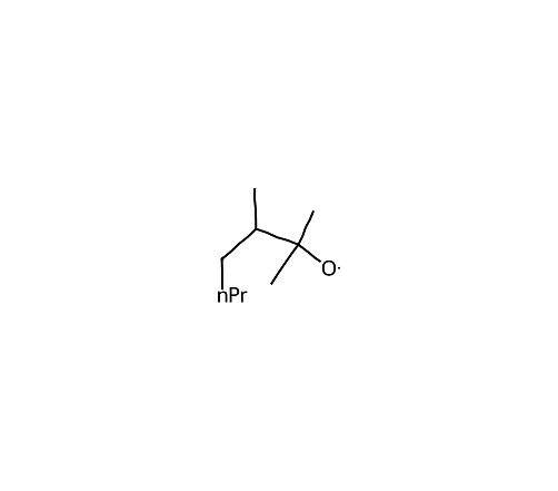 CCCCC(C)C(C)(C)[O]